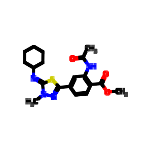 COC(=O)c1ccc(-c2nn(C)c(=NC3CCCCC3)s2)cc1NC(C)=O